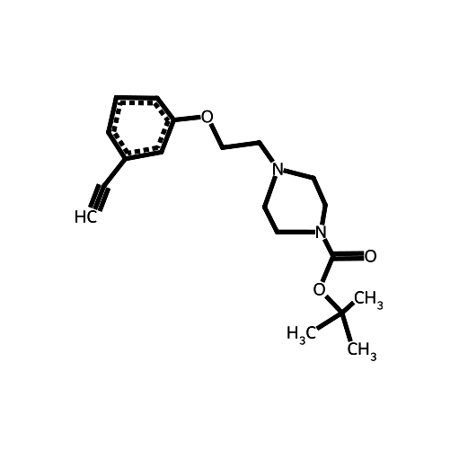 C#Cc1cccc(OCCN2CCN(C(=O)OC(C)(C)C)CC2)c1